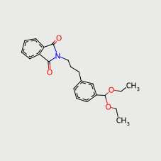 CCOC(OCC)c1cccc(CCCN2C(=O)c3ccccc3C2=O)c1